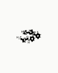 C=Cc1csc(C(=O)N[C@H]2CCC[C@@H](n3c(-c4ccccc4F)nc4cnc(-c5nc[nH]n5)cc43)C2)n1